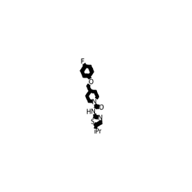 CC(C)c1cnc(NC(=O)N2CCC(COc3ccc(F)cc3)CC2)s1